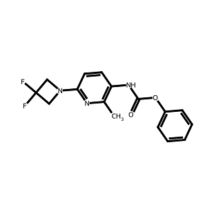 Cc1nc(N2CC(F)(F)C2)ccc1NC(=O)Oc1ccccc1